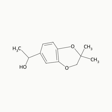 CC(O)c1ccc2c(c1)OCC(C)(C)O2